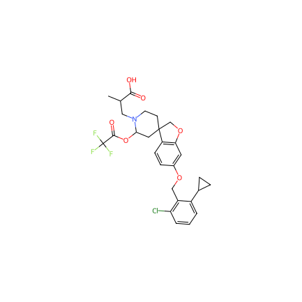 CC(CN1CCC2(COc3cc(OCc4c(Cl)cccc4C4CC4)ccc32)CC1OC(=O)C(F)(F)F)C(=O)O